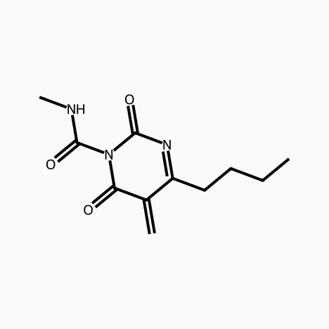 C=C1C(=O)N(C(=O)NC)C(=O)N=C1CCCC